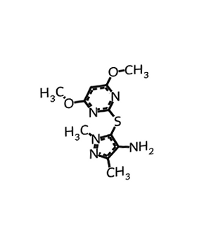 COc1cc(OC)nc(Sc2c(N)c(C)nn2C)n1